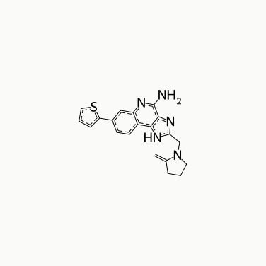 C=C1CCCN1Cc1nc2c(N)nc3cc(-c4cccs4)ccc3c2[nH]1